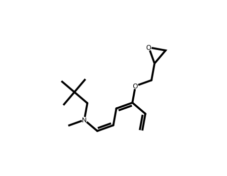 C=C/C(=C\C=C/N(C)CC(C)(C)C)OCC1CO1